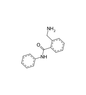 NCc1ccccc1C(=O)Nc1ccccc1